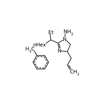 C=CCC1CN(N)C(C(CC)CCCCCC)=N1.Cc1ccccc1